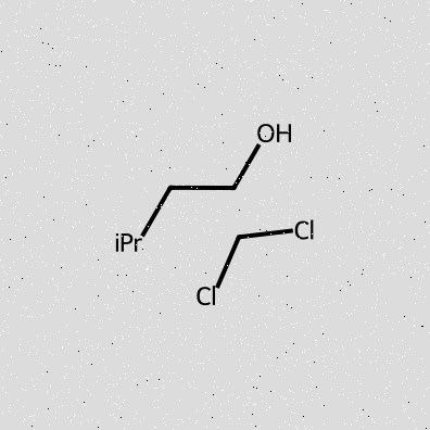 CC(C)CCO.ClCCl